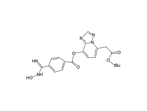 CC(C)(C)OC(=O)Cc1ccc(OC(=O)c2ccc(C(=N)NO)cc2)c2ncnn12